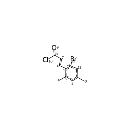 Cc1cc(C)c(C=CC(=O)Cl)c(Br)c1